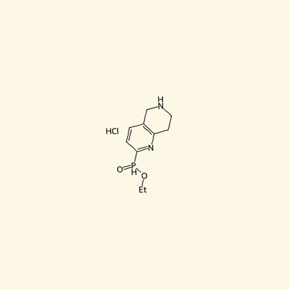 CCO[PH](=O)c1ccc2c(n1)CCNC2.Cl